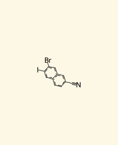 N#Cc1ccc2cc(I)c(Br)cc2c1